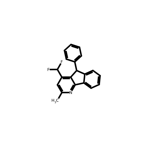 Cc1cc(C(F)F)c2c(n1)-c1ccccc1C2c1ccccc1